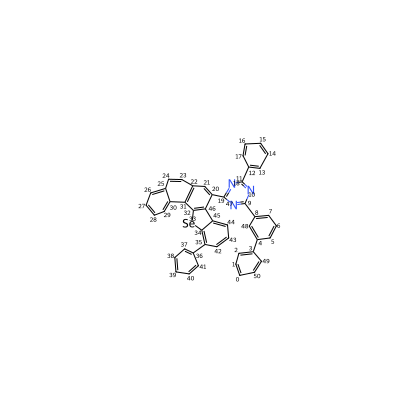 c1ccc(-c2cccc(-c3nc(-c4ccccc4)nc(-c4cc5ccc6ccccc6c5c5[se]c6c(-c7ccccc7)cccc6c45)n3)c2)cc1